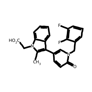 Cc1c(-c2ccc(=O)n(Cc3cccc(F)c3F)c2)c2ccccc2n1CC(=O)O